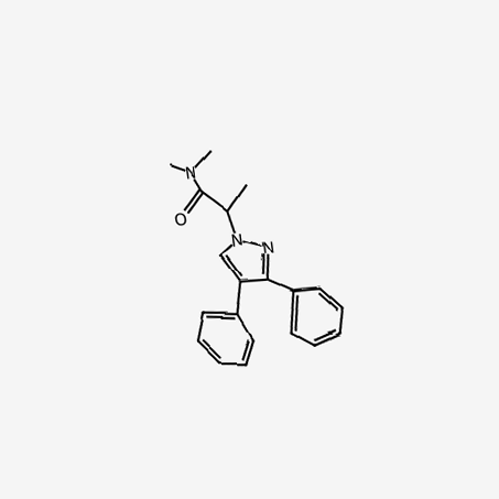 CC(C(=O)N(C)C)n1cc(-c2ccccc2)c(-c2ccccc2)n1